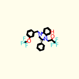 OC(CN1c2ccccc2N(Cc2cccc(OC(F)(F)F)c2)C[C@@H]1c1ccccc1)C(F)(F)F